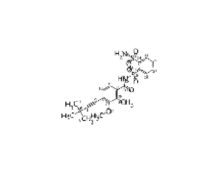 COc1c(C#CC(C)(C)C)ccc(C(=O)NS(=O)(=O)c2ccccc2S(N)(=O)=O)c1C